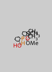 COCOc1c(Pc2ccccc2CO)cccc1[Si](C)(C)C